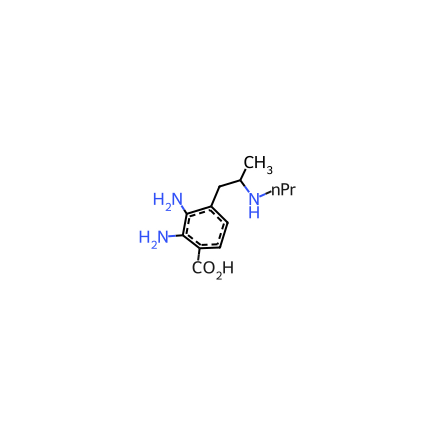 CCCNC(C)Cc1ccc(C(=O)O)c(N)c1N